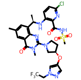 Cc1cc([C@@H](C)Nc2ccc(Cl)nc2C(=O)NS(C)(=O)=O)c2nc(N3CC[C@@H](Oc4cnn(CC(F)(F)F)c4)C3)n(C)c(=O)c2c1